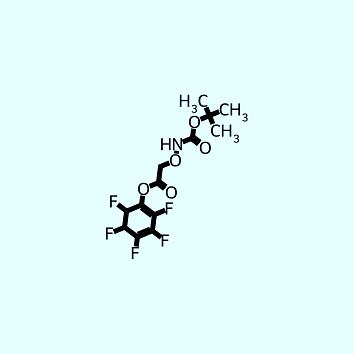 CC(C)(C)OC(=O)NOCC(=O)OC1=C(F)C(F)=C(F)C(F)C1F